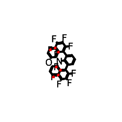 Fc1c(F)c(F)c(-c2cccc(-c3c(F)c(F)c(F)c(F)c3F)c2N2c3ccccc3Oc3ccccc32)c(F)c1F